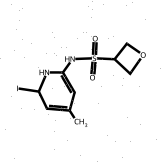 CC1=CC(I)NC(NS(=O)(=O)C2COC2)=C1